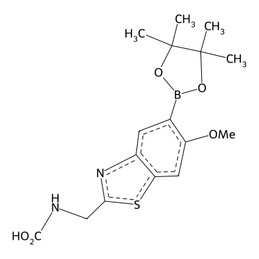 COc1cc2sc(CNC(=O)O)nc2cc1B1OC(C)(C)C(C)(C)O1